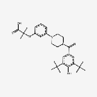 CC(C)(Oc1cccc(N2CCN(C(=O)c3cc(C(C)(C)C)c(O)c(C(C)(C)C)c3)CC2)c1)C(=O)O